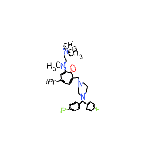 CC(C)c1ccc(CN2CCCN(C(c3ccc(F)cc3)c3ccc(F)cc3)CC2)c(=O)c(N(C)CCN(C)C)c1